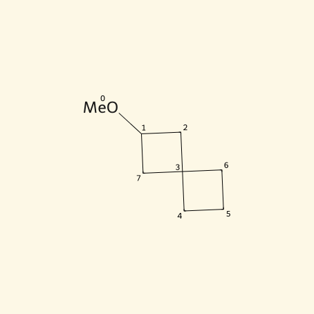 COC1CC2(CCC2)C1